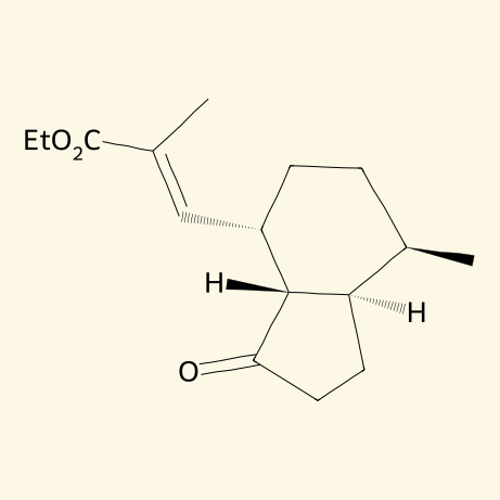 CCOC(=O)C(C)=C[C@@H]1CC[C@@H](C)[C@H]2CCC(=O)[C@@H]21